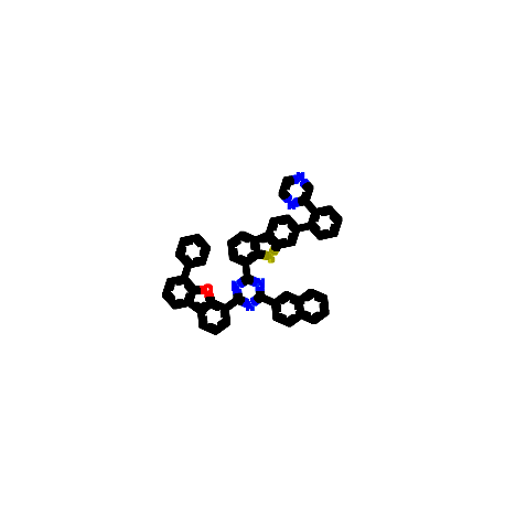 c1ccc(-c2cccc3c2oc2c(-c4nc(-c5ccc6ccccc6c5)nc(-c5cccc6c5sc5cc(-c7ccccc7-c7cnccn7)ccc56)n4)cccc23)cc1